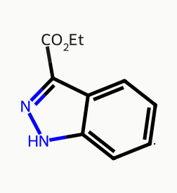 CCOC(=O)c1n[nH]c2c[c]ccc12